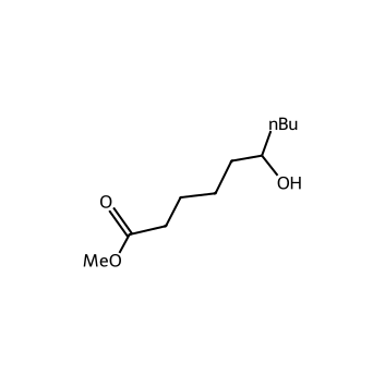 CCCCC(O)CCCCC(=O)OC